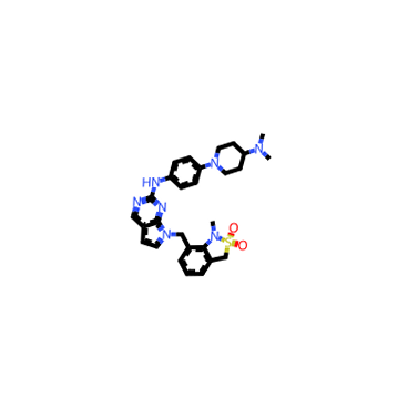 CN(C)C1CCN(c2ccc(Nc3ncc4ccn(Cc5cccc6c5N(C)S(=O)(=O)C6)c4n3)cc2)CC1